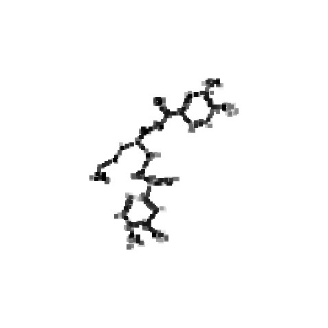 [CH2]CCC[C](OOC(=O)c1ccc(C)c(C)c1)OOC(=O)c1ccc(C)c(C)c1